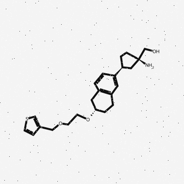 N[C@]1(CO)CC[C@H](c2ccc3c(c2)CC[C@H](OCCOCc2ccsc2)C3)C1